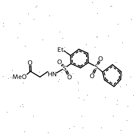 CCc1ccc(S(=O)(=O)c2ccccc2)cc1S(=O)(=O)NCCC(=O)OC